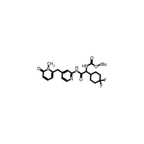 Cn1c(Cc2ccnc(NC(=O)C(NC(=O)OC(C)(C)C)C3CCC(F)(F)CC3)c2)cccc1=O